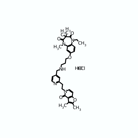 CCN1C(=O)C(C)(C)C(=O)N(C)c2cc(OCCCNCc3ccnc(CCn4ccc5oc(C)c(C)c5c4=O)c3)ccc21.Cl.Cl